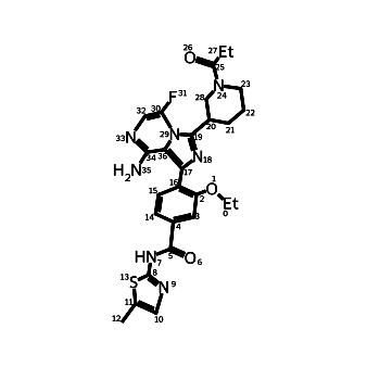 CCOc1cc(C(=O)Nc2ncc(C)s2)ccc1-c1nc(C2CCCN(C(=O)CC)C2)n2c(F)cnc(N)c12